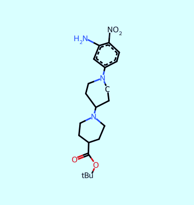 CC(C)(C)OC(=O)C1CCN(C2CCN(c3ccc([N+](=O)[O-])c(N)c3)CC2)CC1